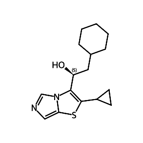 O[C@@H](CC1CCCCC1)c1c(C2CC2)sc2cncn12